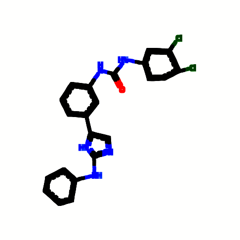 O=C(Nc1cccc(-c2cnc(Nc3ccccc3)[nH]2)c1)Nc1ccc(Cl)c(Cl)c1